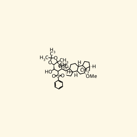 CO[C@@H]1C[C@H]2[C@@H]3CC[C@H]([C@H](C)C(C(O)[C@H]4OC(C)(C)OC4(C)C)S(=O)(=O)c4ccccc4)[C@@]3(C)CC[C@@H]2[C@@]2(C)CC[C@H]3C[C@]312